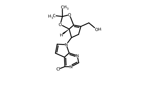 CC1(C)OC2=C(CO)CC(n3ccc4c(Cl)ncnc43)[C@@H]2O1